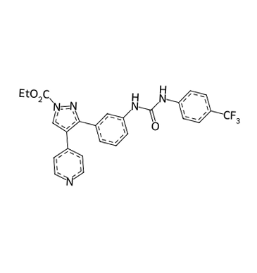 CCOC(=O)n1cc(-c2ccncc2)c(-c2cccc(NC(=O)Nc3ccc(C(F)(F)F)cc3)c2)n1